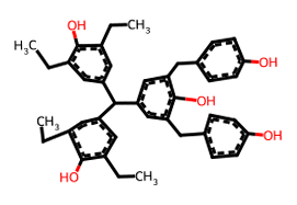 CCc1cc(C(c2cc(CC)c(O)c(CC)c2)c2cc(Cc3ccc(O)cc3)c(O)c(Cc3ccc(O)cc3)c2)cc(CC)c1O